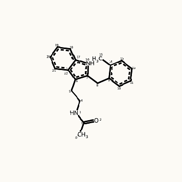 CC(=O)NCCc1c(Cc2ccccc2C)[nH]c2ccccc12